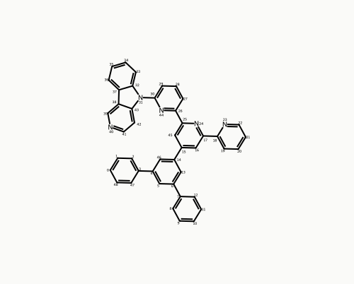 c1ccc(-c2cc(-c3ccccc3)cc(-c3cc(-c4ccccn4)nc(-c4cccc(-n5c6ccccc6c6cnccc65)n4)c3)c2)cc1